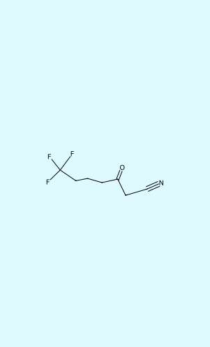 N#CCC(=O)CCCC(F)(F)F